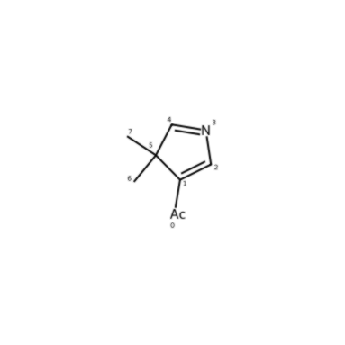 CC(=O)C1=CN=CC1(C)C